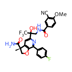 COc1ccc(C(=O)NCC(O)(c2cc3c(c(-c4ccc(F)cc4)n2)OC[C@]3(C)C(N)=O)C(F)(F)F)cc1C#N